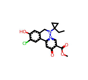 CCC1(N2Cc3cc(O)c(Cl)cc3-c3cc(=O)c(C(=O)OC)cn32)CC1